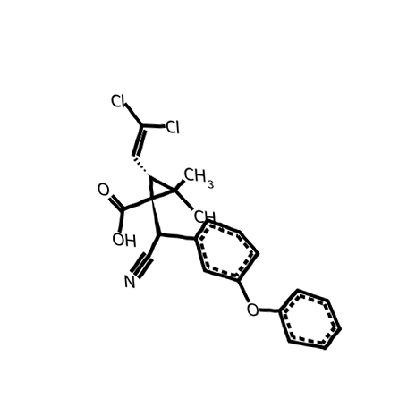 CC1(C)[C@@H](C=C(Cl)Cl)[C@]1(C(=O)O)C(C#N)c1cccc(Oc2ccccc2)c1